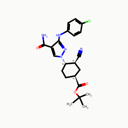 CC(C)(C)OC(=O)[C@H]1CC[C@H](n2cc(C(N)=O)c(Nc3ccc(Cl)cc3)n2)[C@@H](C#N)C1